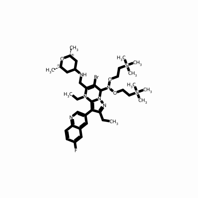 CCc1nn2c(c1-c1cnc3ccc(F)cc3c1)N(CC)C(CNC1C[C@@H](C)O[C@@H](C)C1)=C(Br)C2N(OCC[Si](C)(C)C)OCC[Si](C)(C)C